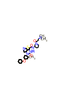 Cc1cc(Oc2ccccc2)ccc1N1C(=O)Nc2c(C(=O)N[C@@H]3CCCN(C(=O)CCN(C)C)C3)sc3nccc1c23